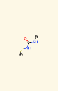 CCNC(=O)NSC(C)C